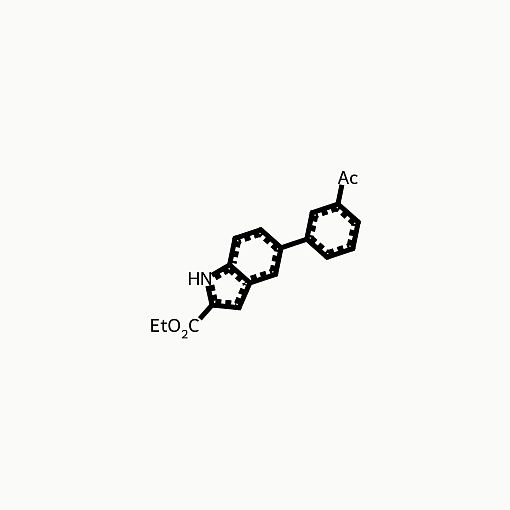 CCOC(=O)c1cc2cc(-c3cccc(C(C)=O)c3)ccc2[nH]1